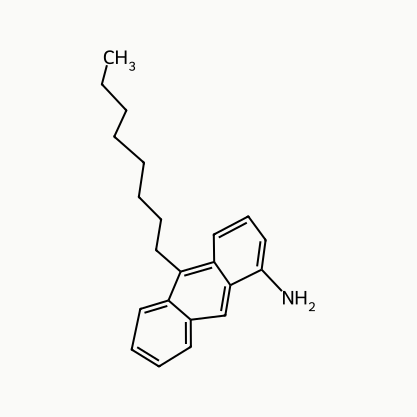 CCCCCCCCc1c2ccccc2cc2c(N)cccc12